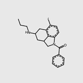 CCCNC1Cc2c(I)ccc3c2C(C1)CN3C(=O)c1ccccc1